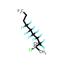 C[Si](C)(Cl)C(F)(F)C(F)(F)C(F)(F)C(F)(F)C(F)(F)CCC(F)(F)F